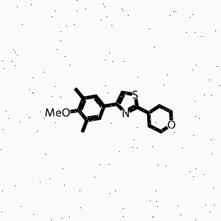 COc1c(C)cc(-c2csc(C3CCOCC3)n2)cc1C